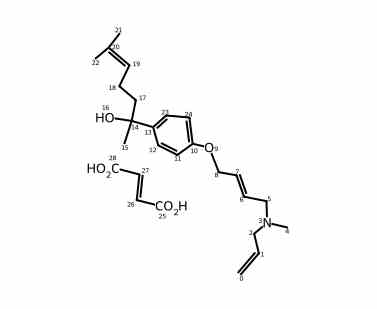 C=CCN(C)C/C=C/COc1ccc(C(C)(O)CCC=C(C)C)cc1.O=C(O)/C=C/C(=O)O